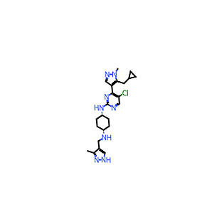 Cc1n[nH]cc1CN[C@H]1CC[C@@H](Nc2ncc(Cl)c(-c3cnn(C)c3CC3CC3)n2)CC1